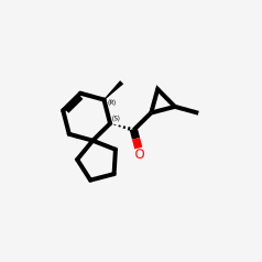 CC1CC1C(=O)[C@H]1[C@H](C)C=CCC12CCCC2